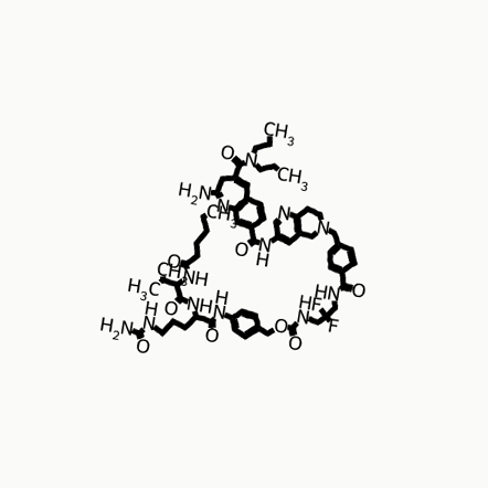 CCCCCC(=O)NC(C(=O)NC(CCCNC(N)=O)C(=O)Nc1ccc(COC(=O)NCC(F)(F)CNC(=O)c2ccc(CN3CCc4ncc(NC(=O)c5ccc6c(c5)N=C(N)CC(C(=O)N(CCC)CCC)=C6)cc4C3)cc2)cc1)C(C)C